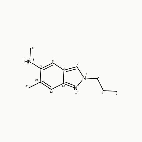 CCCn1cc2cc(NC)c(C)cc2n1